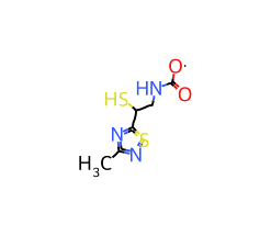 Cc1nsc(C(S)CNC([O])=O)n1